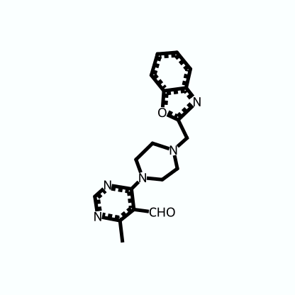 Cc1ncnc(N2CCN(Cc3nc4ccccc4o3)CC2)c1C=O